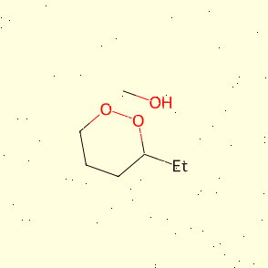 CCC1CCCOO1.CO